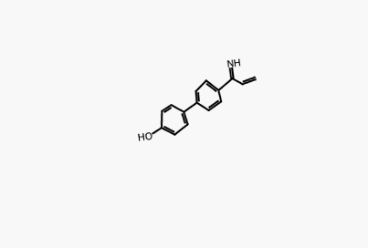 C=CC(=N)c1ccc(-c2ccc(O)cc2)cc1